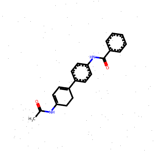 CC(=O)NC1=CC=C(c2ccc(NC(=O)c3ccccc3)cc2)CC1